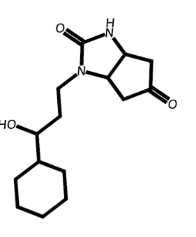 O=C1CC2NC(=O)N(CCC(O)C3CCCCC3)C2C1